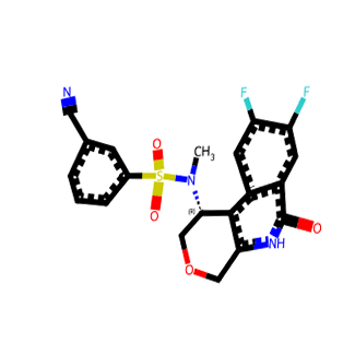 CN([C@H]1COCc2[nH]c(=O)c3cc(F)c(F)cc3c21)S(=O)(=O)c1cccc(C#N)c1